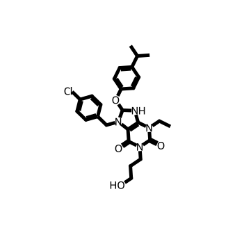 CCn1c2c(c(=O)n(CCCO)c1=O)N(Cc1ccc(Cl)cc1)C(Oc1ccc(C(C)C)cc1)N2